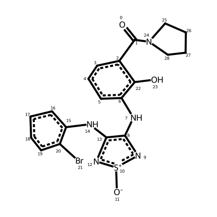 O=C(c1cccc(Nc2n[s+]([O-])nc2Nc2ccccc2Br)c1O)N1CCCC1